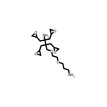 NCCCOCCOCC(CC1CO1)(CC1CO1)C(N)(CC1CO1)CC1CO1